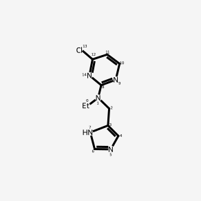 CCN(Cc1cnc[nH]1)c1nccc(Cl)n1